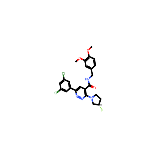 COc1ccc(CNC(=O)c2cc(-c3cc(Cl)cc(Cl)c3)nnc2N2CC[C@H](F)C2)cc1OC